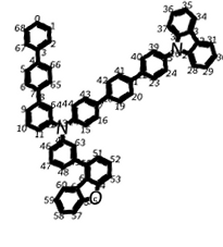 c1ccc(-c2ccc(-c3cccc(N(c4ccc(-c5ccc(-c6ccc(-n7c8ccccc8c8ccccc87)cc6)cc5)cc4)c4cccc(-c5cccc6oc7ccccc7c56)c4)c3)cc2)cc1